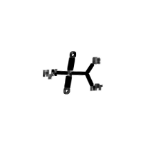 CCCC(CC)S(N)(=O)=O